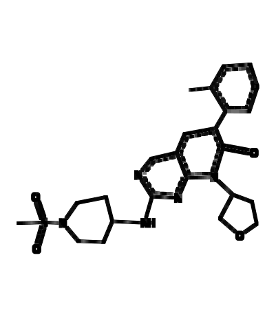 Cc1ccccc1-c1cc2cnc(NC3CCN(S(C)(=O)=O)CC3)nc2n(C2CCOC2)c1=O